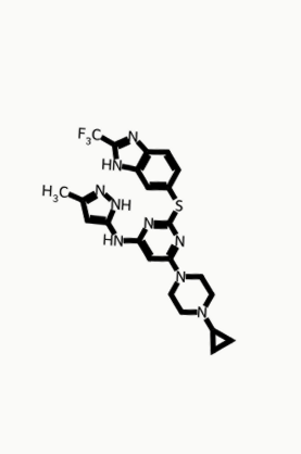 Cc1cc(Nc2cc(N3CCN(C4CC4)CC3)nc(Sc3ccc4nc(C(F)(F)F)[nH]c4c3)n2)[nH]n1